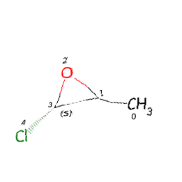 CC1O[C@H]1Cl